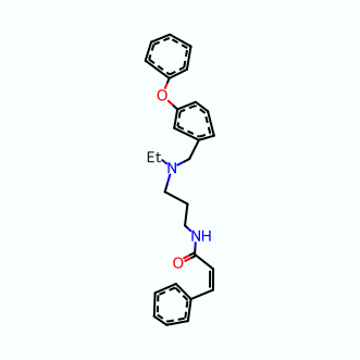 CCN(CCCNC(=O)/C=C\c1ccccc1)Cc1cccc(Oc2ccccc2)c1